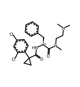 CN(C)CCN(C)C(=O)[C@H](Cc1ccccc1)NC(=O)C1(c2ccc(Cl)cc2Cl)CC1